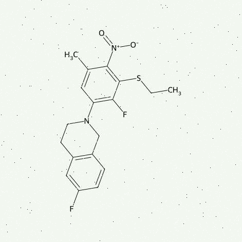 CCSc1c(F)c(N2CCc3cc(F)ccc3C2)cc(C)c1[N+](=O)[O-]